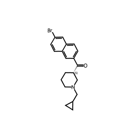 O=C(c1ccc2cc(Br)ccc2c1)[C@H]1CCCN(CC2CC2)C1